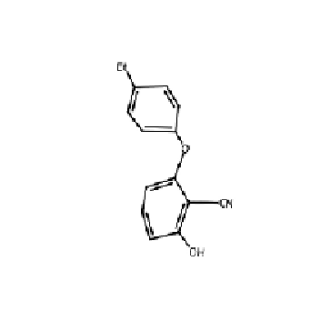 CCc1ccc(Oc2cccc(O)c2C#N)cc1